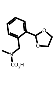 CN(Cc1ccccc1C1OCCO1)C(=O)O